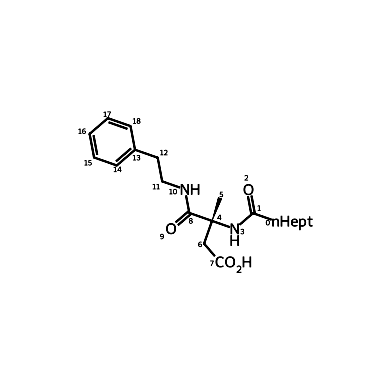 CCCCCCCC(=O)N[C@](C)(CC(=O)O)C(=O)NCCc1ccccc1